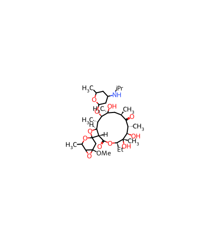 CC[C@H]1OC(=O)[C@H]2[C@@H](OC23CC2(OC)OC2C(C)O3)[C@H](C)[C@@H](OC2CC(NC(C)C)CC(C)O2)[C@@](C)(O)C[C@@H](C)C(=O)[C@H](C)[C@@H](O)[C@]1(C)O